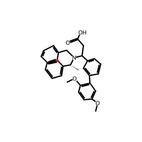 COc1ccc(OC)c(-c2cccc(C(CC(=O)O)N(Cc3ccccc3)[C@H](C)c3ccccc3)c2)c1